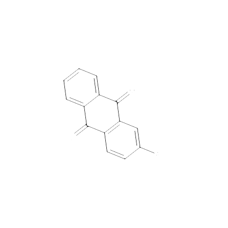 CC(=O)c1ccc2c(c1)C(=O)c1ccccc1C2=O